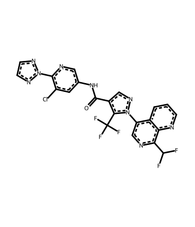 O=C(Nc1cnc(-n2nccn2)c(Cl)c1)c1cnn(-c2cnc(C(F)F)c3ncccc23)c1C(F)(F)F